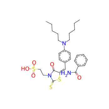 CCCCCN(CCCCC)c1ccc(C=C2SC(=S)N(CCS(=O)(=O)O)C2=O)cc1.NC(=O)c1ccccc1